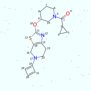 O=C(C1CC1)N1CCCC(Oc2nc3c(s2)CN(C2=CC=C2)CC3)C1